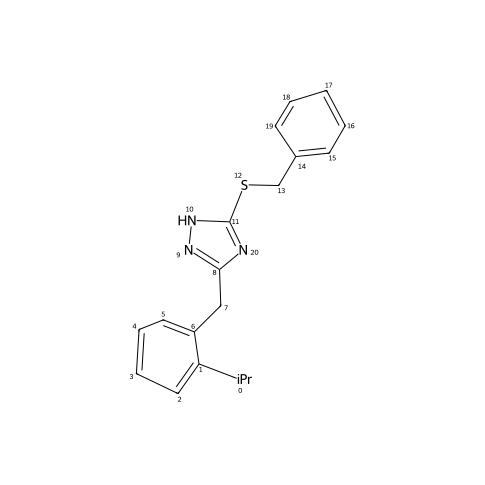 CC(C)c1ccccc1Cc1n[nH]c(SCc2ccccc2)n1